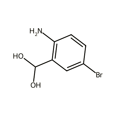 Nc1ccc(Br)cc1C(O)O